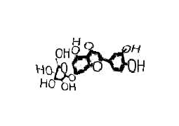 O=c1cc(-c2ccc(O)c(O)c2)oc2cc(OC3O[C@H](CO)[C@@H](O)[C@H](O)[C@H]3O)cc(O)c12